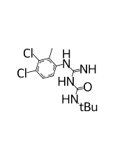 Cc1c(NC(=N)NC(=O)NC(C)(C)C)ccc(Cl)c1Cl